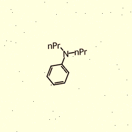 CCCN(CCC)c1cc[c]cc1